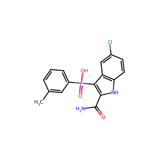 Cc1cccc(P(=O)(O)c2c(C(N)=O)[nH]c3ccc(Cl)cc23)c1